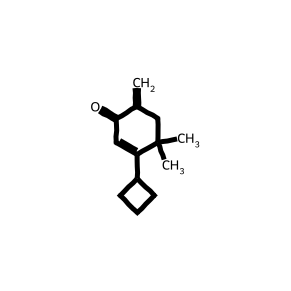 C=C1CC(C)(C)C(C2CCC2)=CC1=O